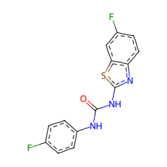 O=C(Nc1ccc(F)cc1)Nc1nc2ccc(F)cc2s1